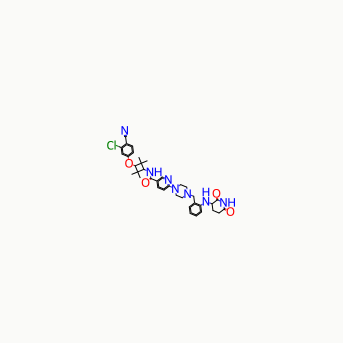 CC1(C)C(NC(=O)c2ccc(N3CCN(Cc4ccccc4NC4CCC(=O)NC4=O)CC3)nc2)C(C)(C)C1Oc1ccc(C#N)c(Cl)c1